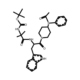 CC(=O)N(c1ccccc1)C1CCN(C(=O)C(Cc2c[nH]c3ccccc23)NC(=O)C(C)(C)NC(=O)OC(C)(C)C)CC1